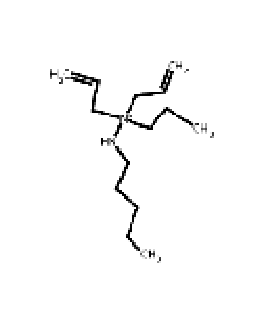 C=CC[N+](CC=C)(CCC)NCCCCC